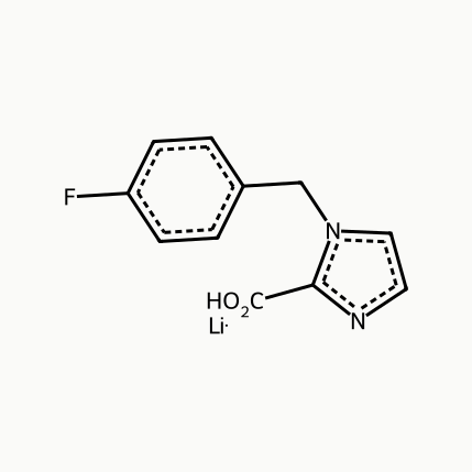 O=C(O)c1nccn1Cc1ccc(F)cc1.[Li]